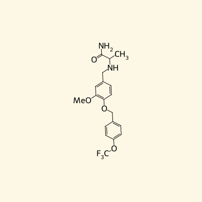 COc1cc(CNC(C)C(N)=O)ccc1OCc1ccc(OC(F)(F)F)cc1